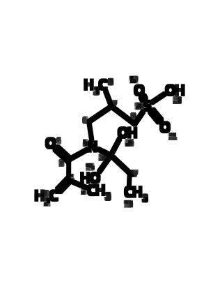 C=C(C)C(=O)N(CC(C)CS(=O)(=O)O)C(O)(O)CC